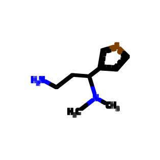 CN(C)C(CCN)c1ccsc1